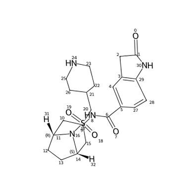 O=C1Cc2cc(C(=O)NC3C[C@H]4CC[C@@H](C3)N4S(=O)(=O)CC3CCNCC3)ccc2N1